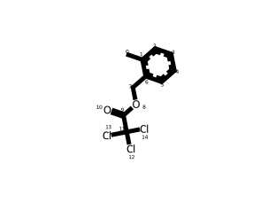 Cc1ccccc1COC(=O)C(Cl)(Cl)Cl